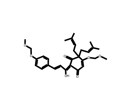 COCOC1=CC(=O)C(=C(O)C=Cc2ccc(OCOC)cc2)C(=O)C1(CC=C(C)C)CC=C(C)C